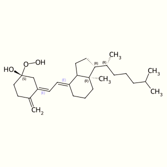 C=C1CC[C@](O)(OO)C/C1=C\C=C1/CCC[C@@]2(C)C1CC[C@@H]2[C@H](C)CCCC(C)C